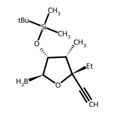 B[C@@H]1O[C@](C#C)(CC)[C@@H](C)[C@H]1O[Si](C)(C)C(C)(C)C